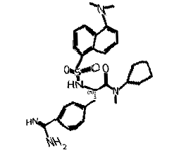 CN(C)c1cccc2c(S(=O)(=O)N[C@@H](Cc3ccc(C(=N)N)cc3)C(=O)N(C)C3CCCC3)cccc12